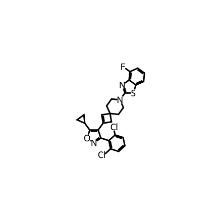 Fc1cccc2sc(N3CCC4(C=C(c5c(-c6c(Cl)cccc6Cl)noc5C5CC5)C4)CC3)nc12